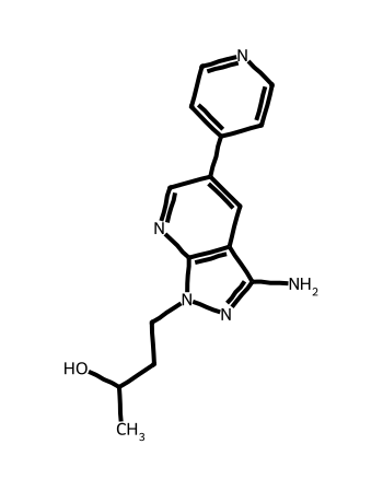 CC(O)CCn1nc(N)c2cc(-c3ccncc3)cnc21